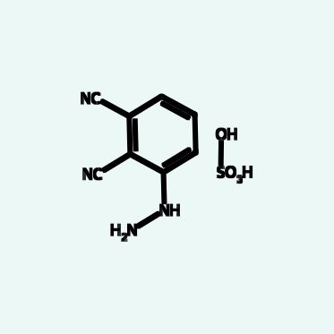 N#Cc1cccc(NN)c1C#N.O=S(=O)(O)O